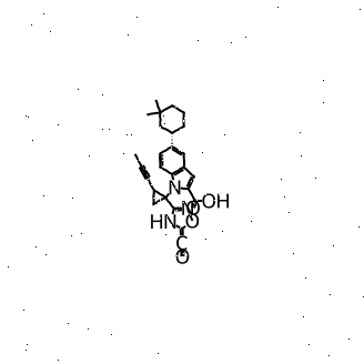 CC#CC1CC1(C1=NOC(=C=O)N1)n1c(C(=O)O)cc2cc([C@H]3CCCC(C)(C)C3)ccc21